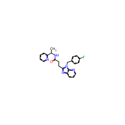 CC(NC(=O)CCc1nc2cccnc2n1Cc1ccc(F)cc1)c1ccccn1